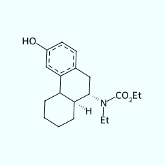 CCOC(=O)N(CC)[C@H]1Cc2ccc(O)cc2C2CCCC[C@@H]21